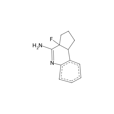 NC1=Nc2ccccc2C2CCCC12F